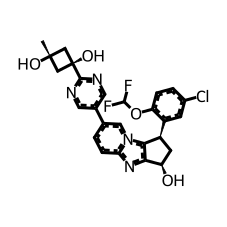 C[C@]1(O)C[C@@](O)(c2ncc(-c3ccc4nc5c(n4c3)[C@@H](c3cc(Cl)ccc3OC(F)F)C[C@H]5O)cn2)C1